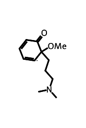 COC1(CCCN(C)C)[C]=CC=CC1=O